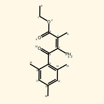 CCOC(=O)C(C)=C(P)C(=O)c1c(C)cc(C)cc1C